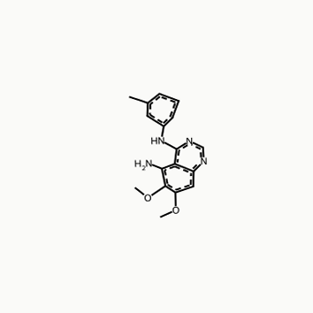 COc1cc2ncnc(Nc3cccc(C)c3)c2c(N)c1OC